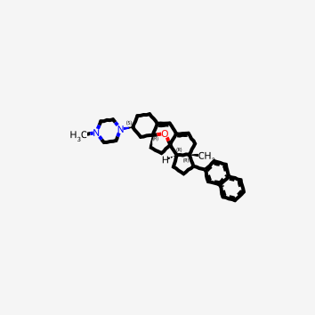 CN1CCN([C@H]2CCC3=CC4=CC[C@]5(C)C(c6ccc7ccccc7c6)CC[C@H]5C45CC[C@]3(C2)O5)CC1